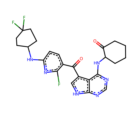 O=C(c1ccc(NC2CCC(F)(F)CC2)nc1F)c1c[nH]c2ncnc(NC3CCCCC3=O)c12